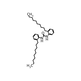 CCCCCCCCCCc1ccccc1NC(=O)Nc1ccccc1CCCCCCCCCC